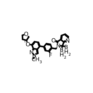 BC1(B)c2ncccc2C(=O)N1Cc1ccc(-c2ccc(O[C@H]3CCOC3)c3nn(C)cc23)cc1F